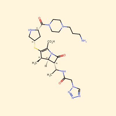 CC(NC(=O)Cn1cnnn1)[C@H]1C(=O)N2C(C(=O)O)=C(S[C@@H]3CN[C@H](C(=O)N4CCN(CCCN)CC4)C3)[C@H](C)[C@H]12